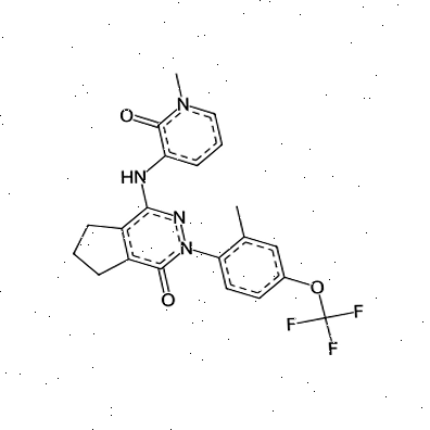 Cc1cc(OC(F)(F)F)ccc1-n1nc(Nc2cccn(C)c2=O)c2c(c1=O)CCC2